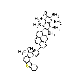 Bc1c(B)c(B)c2c(B)c(-c3ccc4ccc5c(-c6ccc7c(c6)C(C)(C)c6ccc8sc9ccccc9c8c6-7)ccc6ccc3c4c65)c(B)c(B)c2c1B